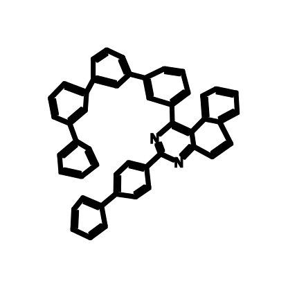 c1ccc(-c2ccc(-c3nc(-c4cccc(-c5cccc(-c6cccc(-c7ccccc7)c6)c5)c4)c4c(ccc5ccccc54)n3)cc2)cc1